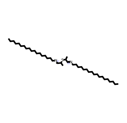 CCCCCCCCCCCCCCCCCC/N=C/C(C)SC(C)/C=N/CCCCCCCCCCCCCCCCCC